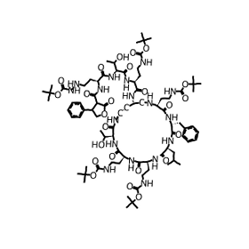 CC(C)C[C@@H]1NC(=O)[C@@H](Cc2ccccc2)NC(=O)[C@H](CCNC(=O)OC(C)(C)C)NC[C@@H](NC(=O)[C@H](CCNC(=O)OC(C)(C)C)NC(=O)[C@@H](NC(=O)[C@H](CCNNC(=O)OC(C)(C)C)NC(=O)C2C(=O)OCC2c2ccccc2)C(C)O)CCNC(=O)[C@H](C(C)O)NC(=O)[C@H](CCNC(=O)OC(C)(C)C)NC(=O)[C@H](CCNC(=O)OC(C)(C)C)NC1=O